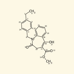 CCc1ccc(CN2C(=O)CC(C(=O)OC)=C(O)c3ccccc32)cc1